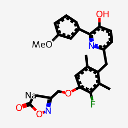 COc1cccc(-c2nc(Cc3c(C)cc(OC[C]4=NO[C](=O)[Na]4)c(F)c3C)ccc2O)c1